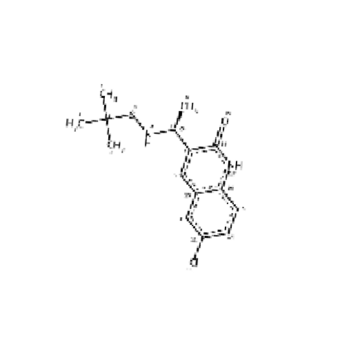 C[C@H](NSC(C)(C)C)c1cc2cc(Cl)ccc2[nH]c1=O